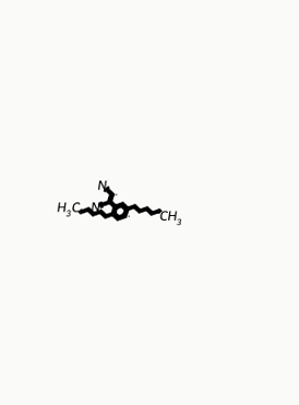 CCCCCCc1[c]cc(CCCCCC)c(C(=[C]C#N)C#N)c1